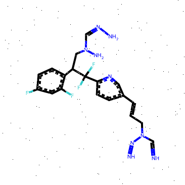 N=CN(C/C=C/c1ccc(C(F)(F)C(CN(N)/C=N\N)c2ccc(F)cc2F)nc1)N=N